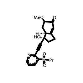 CC[C@]12CC(OC)C(=O)C=C1CC[C@@]2(O)C#Cc1ncccc1S(=O)(=O)C(C)C